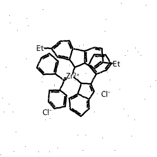 CCc1ccc2c(c1)[CH]([Zr+2](=[C](c1ccccc1)c1ccccc1)[CH]1C(c3ccccc3)=Cc3ccccc31)c1cc(CC)ccc1-2.[Cl-].[Cl-]